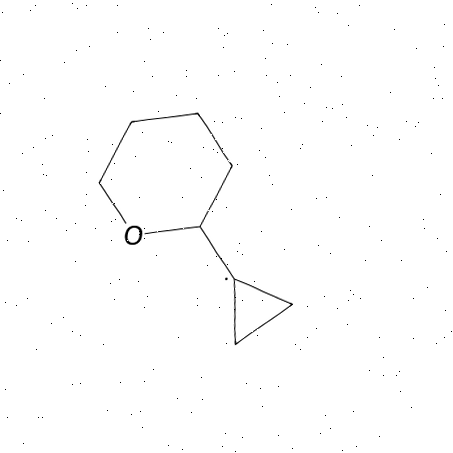 C1CCC([C]2CC2)OC1